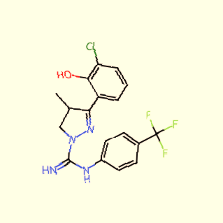 CC1CN(C(=N)Nc2ccc(C(F)(F)F)cc2)N=C1c1cccc(Cl)c1O